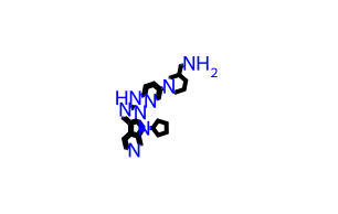 NCC1CCCN(c2ccc(Nc3ncc4c5ccncc5n(C5CCCC5)c4n3)nc2)C1